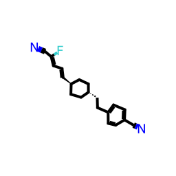 N#CC(F)=CC=C[C@H]1CC[C@H](CCc2ccc(C#N)cc2)CC1